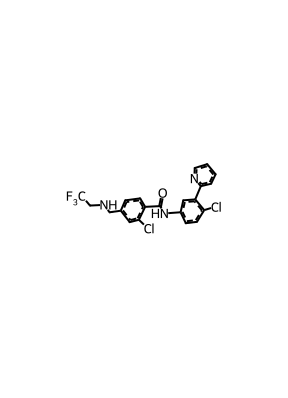 O=C(Nc1ccc(Cl)c(-c2ccccn2)c1)c1ccc(CNCC(F)(F)F)cc1Cl